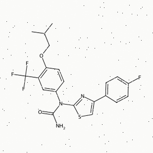 CC(C)COc1ccc(N(C(N)=O)c2nc(-c3ccc(F)cc3)cs2)cc1C(F)(F)F